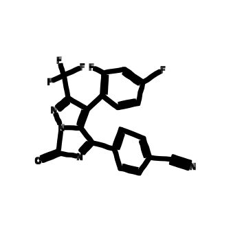 N#Cc1ccc(C2=NC(=O)n3nc(C(F)(F)F)c(-c4ccc(F)cc4F)c32)cc1